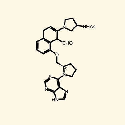 CC(=O)NC1CCN(C2=CCc3cccc(OC[C@H]4CCCN4c4ncnc5[nH]cnc45)c3C2C=O)C1